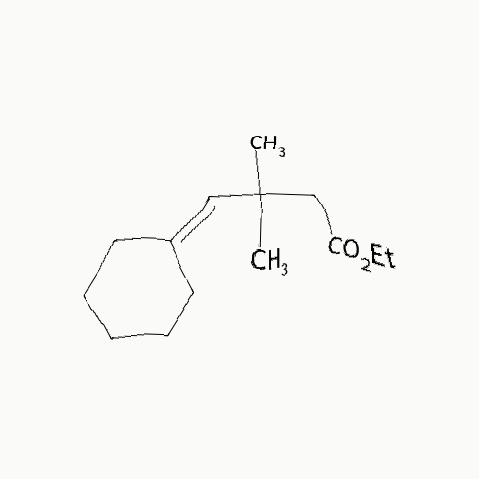 CCOC(=O)CC(C)(C)C=C1CCCCC1